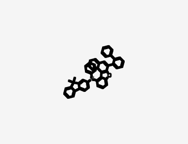 CC1(C)c2ccccc2-c2ccc(N(c3ccccc3)c3cccc4oc5c(-c6ccccc6-c6ccccc6)cc6ccccc6c5c34)cc21